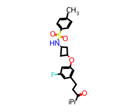 Cc1ccc(S(=O)(=O)N[C@H]2C[C@H](Oc3cc(F)cc(CCC(=O)C(C)C)c3)C2)cc1